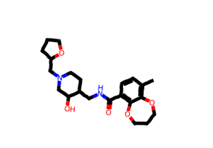 Cc1ccc(C(=O)NCC2CCN(CC3CCCO3)CC2O)c2c1OCCCO2